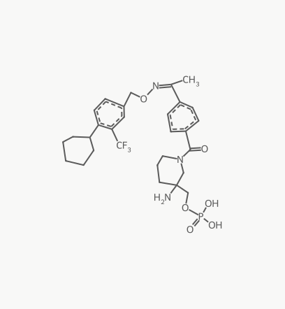 CC(=NOCc1ccc(C2CCCCC2)c(C(F)(F)F)c1)c1ccc(C(=O)N2CCCC(N)(COP(=O)(O)O)C2)cc1